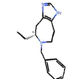 CC[C@@H]1Cc2nc[nH]c2CCN1Cc1ccccc1